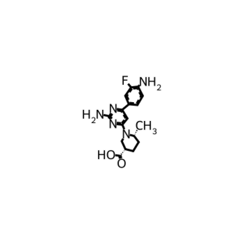 C[C@@H]1CC[C@H](C(=O)O)CN1c1cc(-c2ccc(N)c(F)c2)nc(N)n1